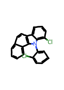 Clc1ccccc1-n1c2c(Cl)cccc2c2ccc3ccccc3c21